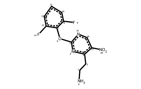 NCCc1nc(Oc2c(F)cccc2F)ncc1[N+](=O)[O-]